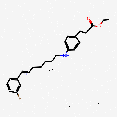 CCOC(=O)CCc1ccc(NCCCCC/C=C/c2cccc(Br)c2)cc1